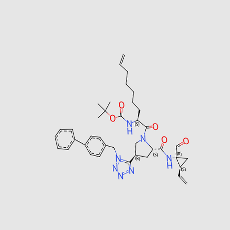 C=CCCCCC[C@H](NC(=O)OC(C)(C)C)C(=O)N1C[C@H](c2nnnn2Cc2ccc(-c3ccccc3)cc2)C[C@H]1C(=O)N[C@]1(C=O)C[C@H]1C=C